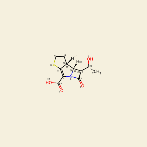 C[C@@H](O)[C@H]1C(=O)N2C(C(=O)O)=C3SCC[C@@H]3[C@H]12